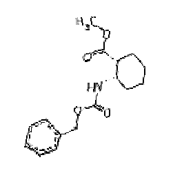 COC(=O)[C@@H]1CCCC[C@@H]1NC(=O)OCc1ccccc1